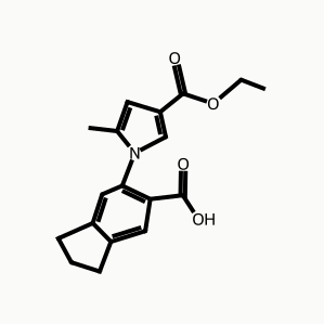 CCOC(=O)c1cc(C)n(-c2cc3c(cc2C(=O)O)CCC3)c1